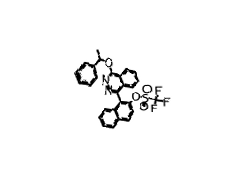 CC(Oc1nnc(-c2c(OS(=O)(=O)C(F)(F)F)ccc3ccccc23)c2ccccc12)c1ccccc1